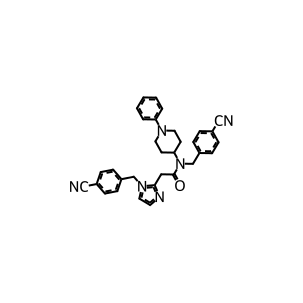 N#Cc1ccc(CN(C(=O)Cc2nccn2Cc2ccc(C#N)cc2)C2CCN(c3ccccc3)CC2)cc1